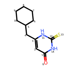 O=c1cc(CC2CCCCC2)[nH]c(=S)[nH]1